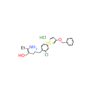 CCC(N)=C(CO)CCCc1ccc([SH]2C=CC(OCc3ccccc3)=C2)cc1Cl.Cl